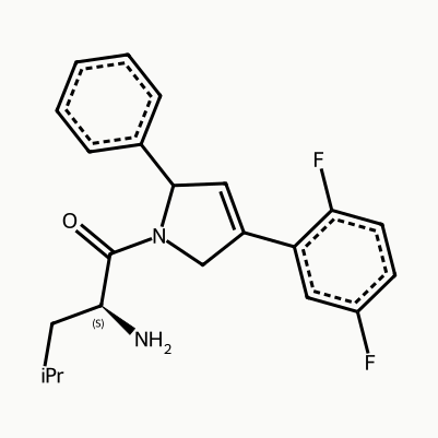 CC(C)C[C@H](N)C(=O)N1CC(c2cc(F)ccc2F)=CC1c1ccccc1